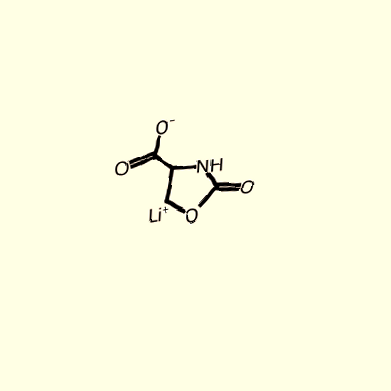 O=C1NC(C(=O)[O-])CO1.[Li+]